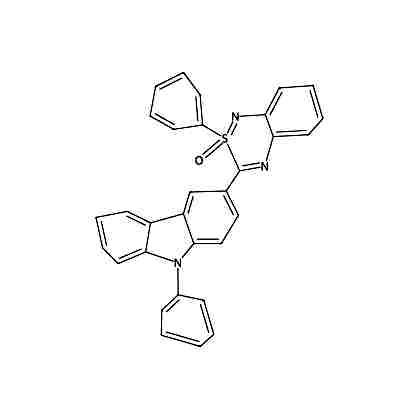 O=S1(c2ccccc2)=Nc2ccccc2N=C1c1ccc2c(c1)c1ccccc1n2-c1ccccc1